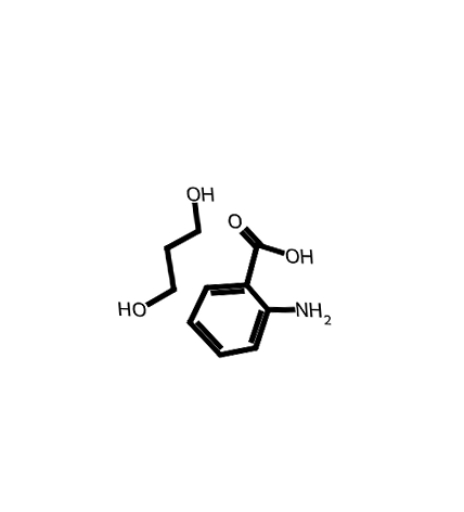 Nc1ccccc1C(=O)O.OCCCO